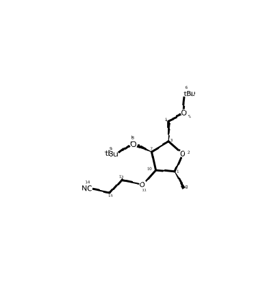 C[C@@H]1O[C@H](COC(C)(C)C)[C@H](OC(C)(C)C)C1OCCC#N